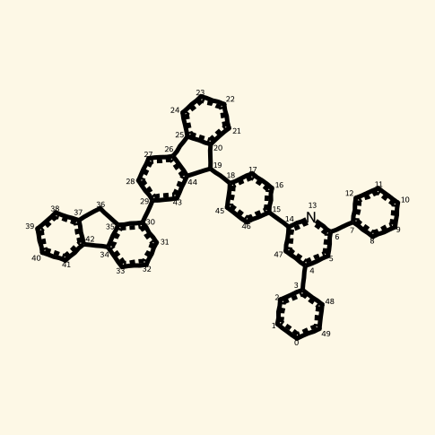 c1ccc(-c2cc(-c3ccccc3)nc(-c3ccc(C4c5ccccc5-c5ccc(-c6cccc7c6Cc6ccccc6-7)cc54)cc3)c2)cc1